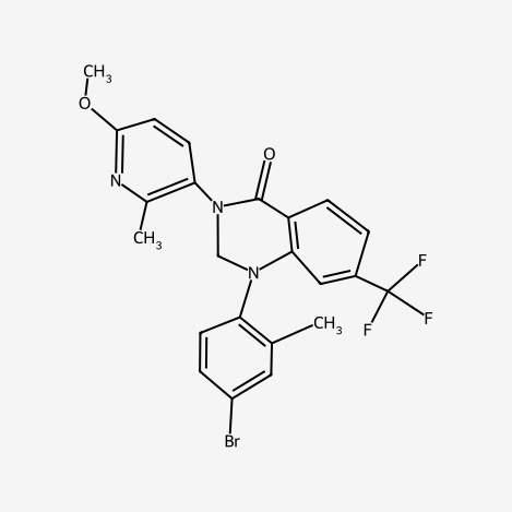 COc1ccc(N2CN(c3ccc(Br)cc3C)c3cc(C(F)(F)F)ccc3C2=O)c(C)n1